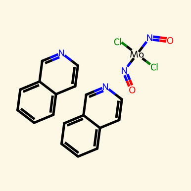 O=[N][Mo]([Cl])([Cl])[N]=O.c1ccc2cnccc2c1.c1ccc2cnccc2c1